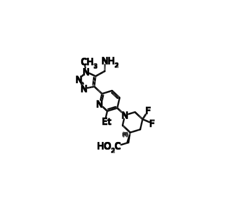 CCc1nc(-c2nnn(C)c2CN)ccc1N1C[C@H](CC(=O)O)CC(F)(F)C1